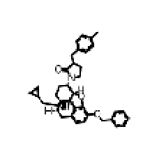 Cc1ccc(CC2CCN([C@H]3CCC4(O)[C@H]5Cc6ccc(OCc7ccccc7)c7c6[C@@]4(CCN5CC4CC4)[C@H]3O7)C2=O)cc1